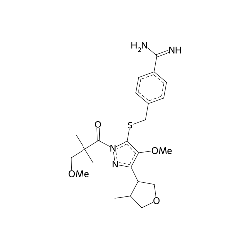 COCC(C)(C)C(=O)n1nc(C2COCC2C)c(OC)c1SCc1ccc(C(=N)N)cc1